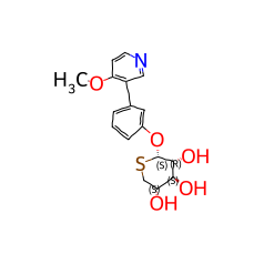 COc1ccncc1-c1cccc(O[C@H]2SC[C@@H](O)[C@H](O)[C@H]2O)c1